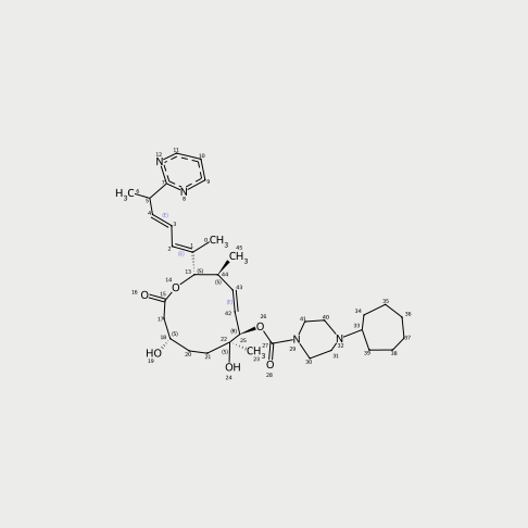 C/C(=C\C=C\C(C)c1ncccn1)[C@H]1OC(=O)C[C@@H](O)CC[C@](C)(O)[C@H](OC(=O)N2CCN(C3CCCCCC3)CC2)/C=C/[C@@H]1C